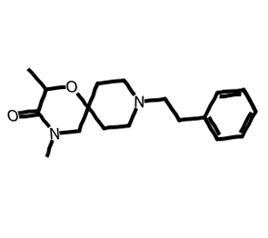 CC1OC2(CCN(CCc3ccccc3)CC2)CN(C)C1=O